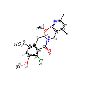 CCCCOc1nc(C)cc(C)c1CN1CCc2c(C(=O)O)cc(OC(C)C)c(Cl)c2C1=O